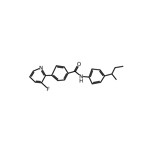 CCC(C)c1ccc(NC(=O)c2ccc(-c3ncccc3F)cc2)cc1